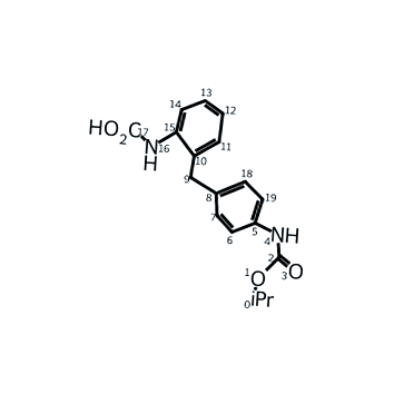 CC(C)OC(=O)Nc1ccc(Cc2ccccc2NC(=O)O)cc1